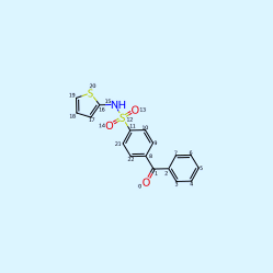 O=C(c1ccccc1)c1ccc(S(=O)(=O)Nc2cccs2)cc1